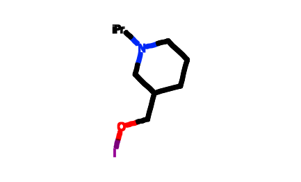 CC(C)N1CCCC(COI)C1